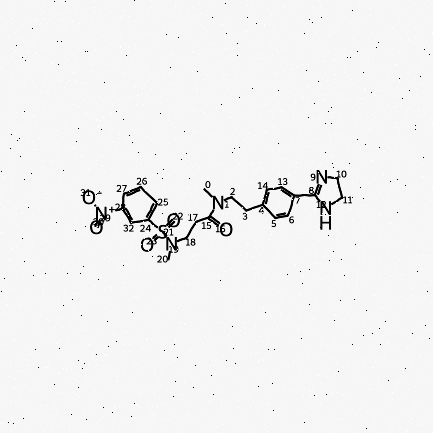 CN(CCc1ccc(C2=NCCN2)cc1)C(=O)CCN(C)S(=O)(=O)c1cccc([N+](=O)[O-])c1